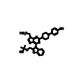 CCOC(=O)Cn1cnc2c(-n3c(CO[Si](C)(C)C(C)(C)C)nc4ccccc43)nc(N3CCN(c4ccc(O)cc4)CC3)nc21